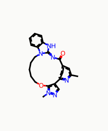 Cc1cc2cc(n1)-c1cnn(C)c1OCCCCCN1/C(=N/C2=O)Nc2ccccc21